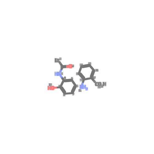 CCC(=O)Nc1ccccc1O.Nc1ccccc1C(=O)O